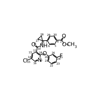 COC(=O)c1ccc(C2(NC(=O)c3cc(Cl)cnc3Oc3cccc(F)c3)CC2)cc1